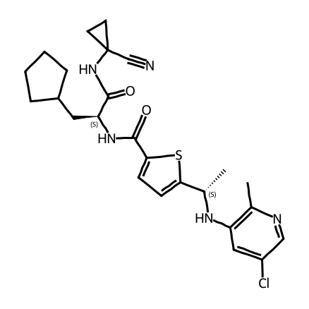 Cc1ncc(Cl)cc1N[C@@H](C)c1ccc(C(=O)N[C@@H](CC2CCCC2)C(=O)NC2(C#N)CC2)s1